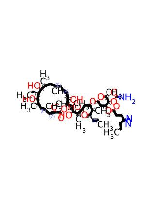 C/C=C/[C@H]1O[C@@](O)([C@@H](C)[C@H](O)[C@H](C)[C@H]2OC(=O)/C(OC)=C/C(C)=C/[C@@H](C)[C@@H](O)[C@@H](CC)[C@@H](O)[C@H](C)C/C(C)=C/C=C/[C@@H]2O)C[C@@H](O[C@@H]2C[C@H](OC(=O)CCC3(CCC)N=N3)[C@@H](OC(N)=O)[C@H](C)O2)[C@@H]1C